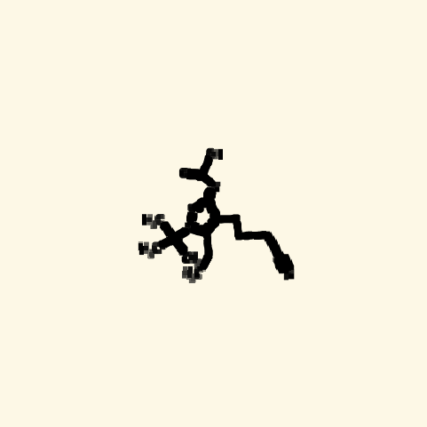 CCc1c(CCCC#N)c(=NC(=O)O)sn1C(C)(C)C